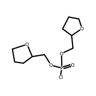 O=P(Cl)(OCC1CCCO1)OCC1CCCO1